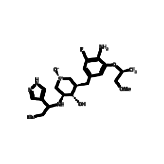 COC[C@@H](Oc1cc(C[C@@H]2C[S@@+]([O-])C[C@H](NC(CC(C)(C)C)c3cn[nH]c3)[C@H]2O)cc(F)c1N)C(F)(F)F